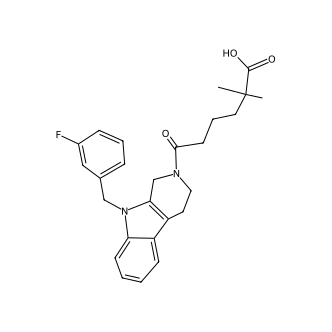 CC(C)(CCCC(=O)N1CCc2c(n(Cc3cccc(F)c3)c3ccccc23)C1)C(=O)O